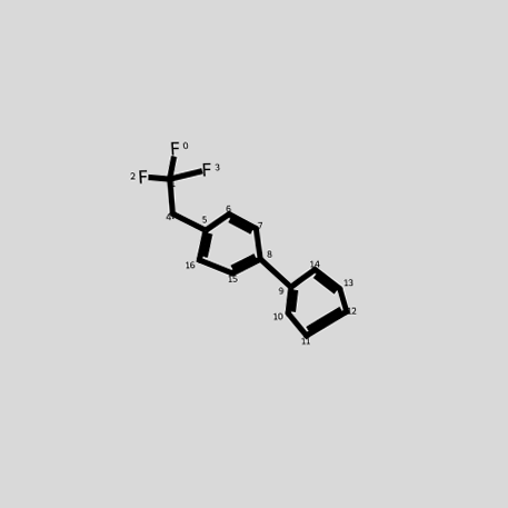 FC(F)(F)[CH]c1ccc(-c2ccccc2)cc1